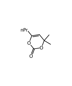 CCCC1=CC(C)(C)OC(=O)O1